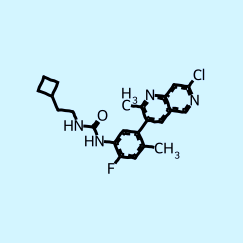 Cc1cc(F)c(NC(=O)NCCC2CCC2)cc1-c1cc2cnc(Cl)cc2nc1C